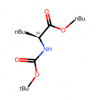 CCCCOC(=O)[C@H](CCCC)NC(=O)OC(C)(C)C